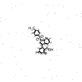 Cc1ccc(S(=O)(=O)n2cc(-c3cc(F)cc(F)c3CO)c3cccnc32)cc1